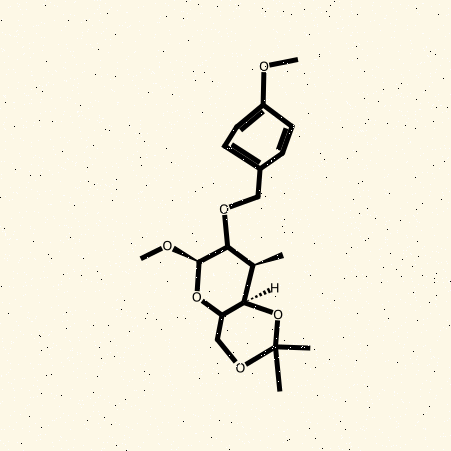 COc1ccc(COC2[C@H](OC)OC3COC(C)(C)O[C@@H]3[C@@H]2C)cc1